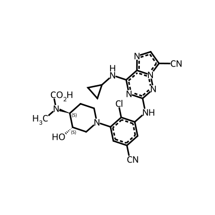 CN(C(=O)O)[C@H]1CCN(c2cc(C#N)cc(Nc3nc(NC4CC4)c4ncc(C#N)n4n3)c2Cl)C[C@@H]1O